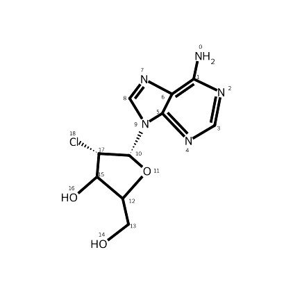 Nc1ncnc2c1ncn2[C@@H]1OC(CO)C(O)[C@@H]1Cl